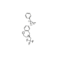 C[C@@H]1[C@H](c2ccccc2)[C@H]1c1ccc2c(c1)CN(CC(F)(F)F)CCO2